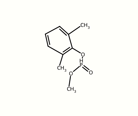 CO[PH](=O)Oc1c(C)cccc1C